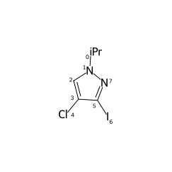 CC(C)n1cc(Cl)c(I)n1